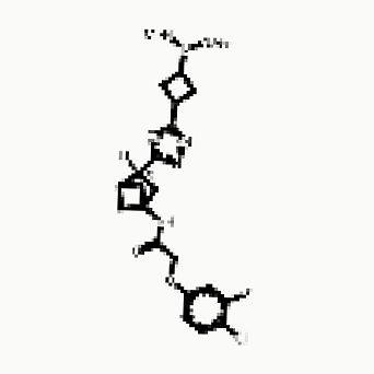 CNN(NC)C1CC(c2nnc([C@@H]3CC4(NC(=O)COc5ccc(Cl)c(F)c5)CC3C4)o2)C1